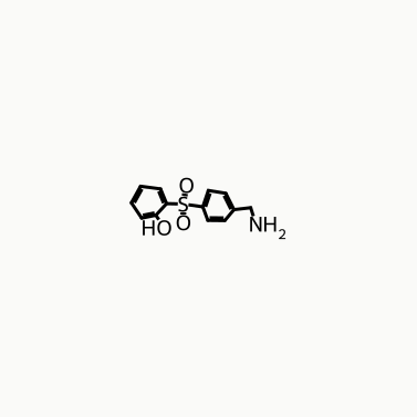 NCc1ccc(S(=O)(=O)c2ccccc2O)cc1